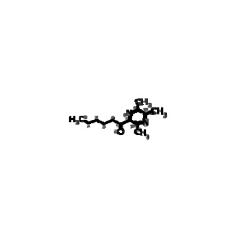 CCCCCC(=O)c1nc(C)c(C)nc1C